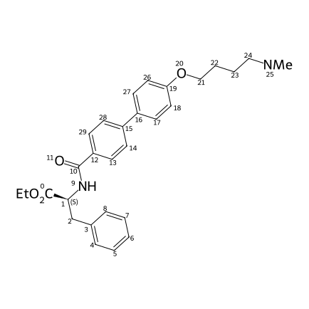 CCOC(=O)[C@H](Cc1ccccc1)NC(=O)c1ccc(-c2ccc(OCCCCNC)cc2)cc1